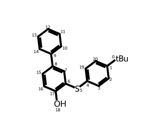 CC(C)(C)c1ccc(Sc2cc(-c3ccccc3)ccc2O)cc1